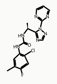 Cc1cc(NC(=O)N[C@@H](C)c2ncnn2-c2ncccn2)c(Cl)cc1F